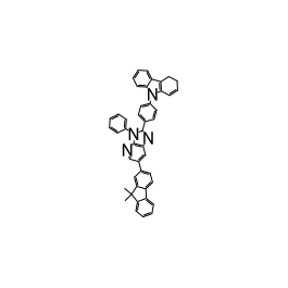 CC1(C)c2ccccc2-c2ccc(-c3cnc4c(c3)nc(-c3ccc(-n5c6c(c7ccccc75)CCC=C6)cc3)n4-c3ccccc3)cc21